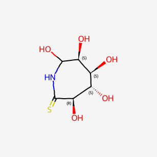 OC1NC(=S)[C@H](O)[C@@H](O)[C@H](O)[C@@H]1O